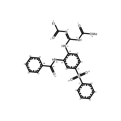 CCC(=O)/N=C(/NC(=O)OC)Nc1ccc(S(=O)(=O)c2ccccc2)cc1NC(=O)c1ccccc1